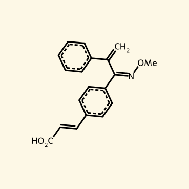 C=C(/C(=N\OC)c1ccc(/C=C/C(=O)O)cc1)c1ccccc1